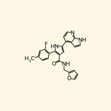 Cc1ccc(-c2[nH]c(-c3ccnc4[nH]ccc34)cc2C(=O)NCc2ccco2)c(F)c1